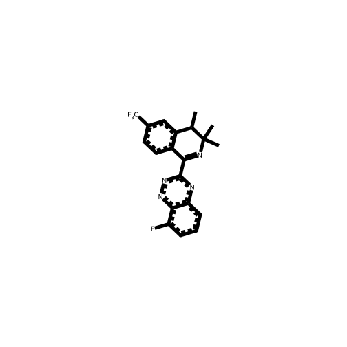 CC1c2cc(C(F)(F)F)ccc2C(c2nnc3c(F)cccc3n2)=NC1(C)C